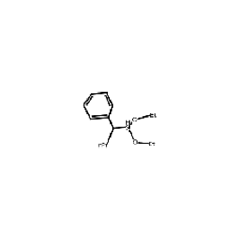 CCCC(c1ccccc1)[SiH](OCC)OCC